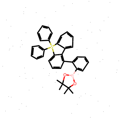 CC1(C)OB(c2ccccc2-c2cccc3c2-c2ccccc2S3(c2ccccc2)c2ccccc2)OC1(C)C